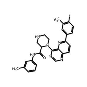 Cc1cccc(NC(=O)C2CNCCN2c2ncnc3ccc(-c4ccc(F)c(C)c4)nc23)c1